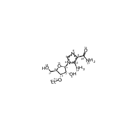 CCO[C@H]1[C@@H](O)[C@H](n2cnc(C(N)=O)c2N)O[C@@H]1CO